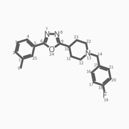 Cc1cccc(-c2nnc(C3CCN(Cc4ccc(F)cc4)CC3)o2)c1